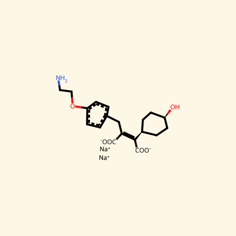 NCCOc1ccc(CC(C(=O)[O-])=C(C(=O)[O-])[C@H]2CC[C@@H](O)CC2)cc1.[Na+].[Na+]